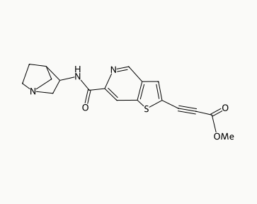 COC(=O)C#Cc1cc2cnc(C(=O)NC3CN4CCC3C4)cc2s1